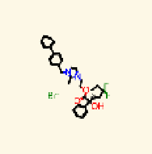 Cc1n(CCOC(=O)[C@](O)(c2ccccc2)[C@@H]2CCC(F)(F)C2)cc[n+]1Cc1ccc(-c2ccccc2)cc1.[Br-]